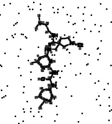 CCN1CCC(CNc2cc(C)nc(NC(=O)Nc3ccc(C)cc3)n2)(C(=S)NCCN(C)C)C1